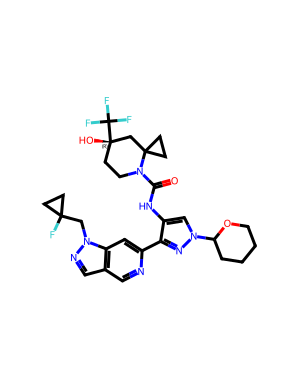 O=C(Nc1cn(C2CCCCO2)nc1-c1cc2c(cn1)cnn2CC1(F)CC1)N1CC[C@](O)(C(F)(F)F)CC12CC2